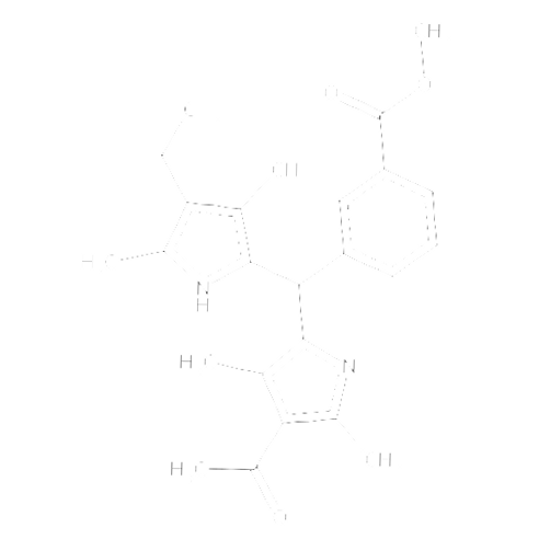 CCc1c(C)[nH]c(C(c2cccc(C(=O)OC)c2)c2[nH]c(C)c(C(C)=O)c2C)c1C